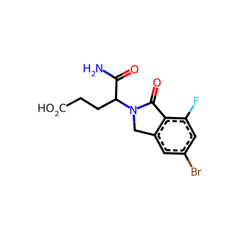 NC(=O)C(CCC(=O)O)N1Cc2cc(Br)cc(F)c2C1=O